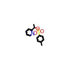 Cc1ccc(S(=O)(=O)OC(C)c2ccccn2)cc1